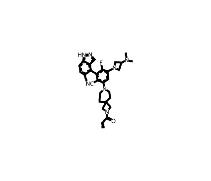 C=CC(=O)N1CC2(CCN(c3cc(N4CC(N(C)C)C4)c(F)c(-c4c(C)ccc5[nH]ncc45)c3C#N)CC2)C1